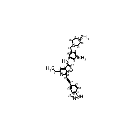 CCc1cc2c(Nc3cc(C)cc(CN4CCN(C)CC4)c3)coc2c(C#Cc2ccc3[nH]nnc3c2)n1